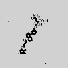 Cc1cccc(OCCCC(=O)N2CCCc3c(-c4cccc(COC(=O)NC(CCC(N)=O)C(=O)O)c4)cccc32)c1C